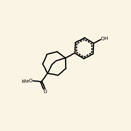 COC(=O)C12CCCC(c3ccc(O)cc3)(CC1)CC2